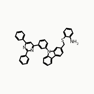 Nc1ccccc1SCc1ccc2c3ccccc3n(-c3cccc(-c4cc(-c5ccccc5)nc(-c5ccccc5)n4)c3)c2c1